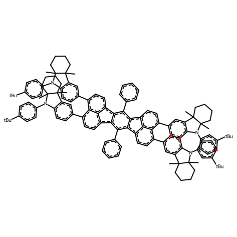 CC(C)(C)c1ccc(N2c3ccc(-c4ccc5c6c(-c7ccccc7)c7c8ccc(-c9ccc%10c(c9)C9(C)CCCCC9(C)N%10c9ccc(C(C)(C)C)cc9)c9c(-c%10ccc%11c(c%10)C%10(C)CCCCC%10(C)N%11c%10ccc(C(C)(C)C)cc%10)ccc(c7c(-c7ccccc7)c6c6ccc(-c7ccc%10c(c7)C7(C)CCCCC7(C)N%10c7ccc(C(C)(C)C)cc7)c4c56)c98)cc3C3(C)CCCCC23C)cc1